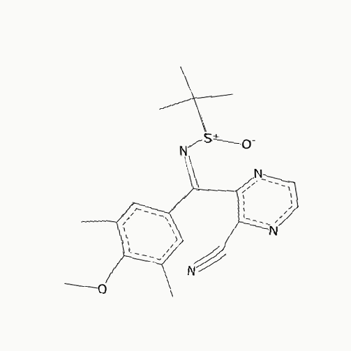 COc1c(C)cc(C(=N[S+]([O-])C(C)(C)C)c2nccnc2C#N)cc1C